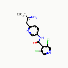 CCOC(=O)[C@@H](N)Cc1ccc(NC(=O)c2c(Cl)cncc2Cl)cn1